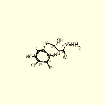 N#Cc1ccc(N[C@@H](C(=O)NN)[C@@H](O)I)c(I)c1Cl